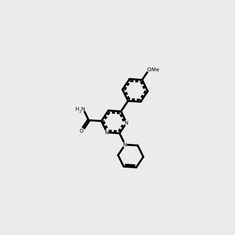 COc1ccc(-c2cc(C(N)=O)nc(N3CC=CCC3)n2)cc1